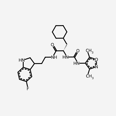 Cc1noc(C)c1NC(=O)N[C@@H](CC1CCCCC1)C(=O)NCCC1CNc2ccc(F)cc21